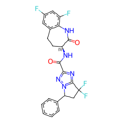 O=C(N[C@H]1CCc2cc(F)cc(F)c2NC1=O)c1nc2n(n1)C(c1ccccc1)CC2(F)F